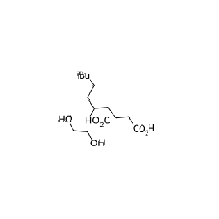 CCC(C)CCC(CCCC(=O)O)C(=O)O.OCCO